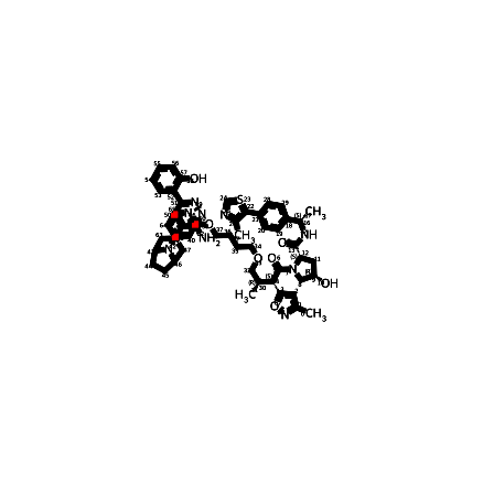 Cc1cc([C@@H](C(=O)N2C[C@H](O)C[C@H]2C(=O)N[C@@H](C)c2ccc(-c3scnc3C)cc2)[C@@H](C)COCCCCOc2cc(N3C4CCC3CN(c3cc(-c5ccccc5O)nnc3N)C4)ccn2)on1